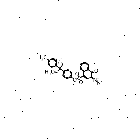 CCC(CC)(c1ccc(C)cc1)c1ccc(OS(=O)(=O)C2=CC(=[N+]=[N-])C(=O)c3ccccc32)cc1